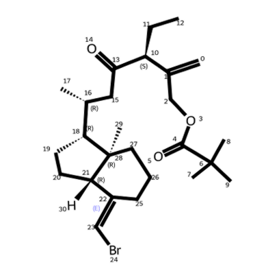 C=C(COC(=O)C(C)(C)C)[C@H](CC)C(=O)C[C@@H](C)[C@H]1CC[C@H]2/C(=C/Br)CCC[C@]12C